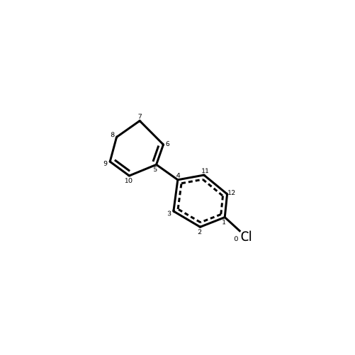 Clc1ccc(C2=CCCC=C2)cc1